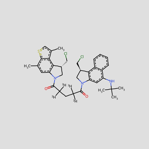 [2H]C([2H])(CC([2H])([2H])C(=O)N1C[C@@H](CCl)c2c1cc(C)c1scc(C)c21)C(=O)N1C[C@@H](CCl)c2c1cc(NC(C)(C)C)c1ccccc21